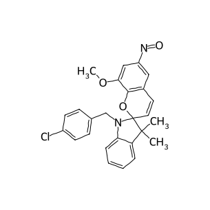 COc1cc(N=O)cc2c1OC1(C=C2)N(Cc2ccc(Cl)cc2)c2ccccc2C1(C)C